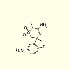 CC1C(N)=N[C@](C)(c2cc(N)ccc2F)CS1(=O)=O